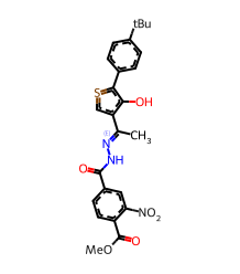 COC(=O)c1ccc(C(=O)N/N=C(\C)c2csc(-c3ccc(C(C)(C)C)cc3)c2O)cc1[N+](=O)[O-]